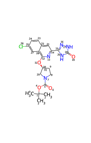 CC(C)(C)OC(=O)N1CC[C@H](Oc2nc(-c3n[nH]c(=O)[nH]3)cc3ccc(Cl)cc23)C1